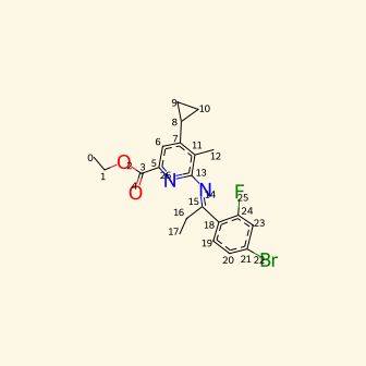 CCOC(=O)c1cc(C2CC2)c(C)c(/N=C(\CC)c2ccc(Br)cc2F)n1